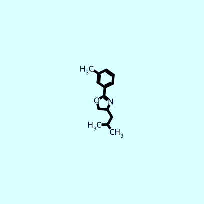 Cc1cccc(C2=NC(CC(C)C)CO2)c1